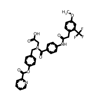 COc1ccc(CC(=O)Nc2ccc(C(=O)N(CC(=O)O)Cc3ccc(OC(=O)c4ccccn4)cc3)cc2)c(C(F)(F)F)c1